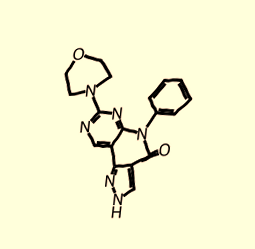 O=c1c2c[nH]nc2c2cnc(N3CCOCC3)nc2n1-c1ccccc1